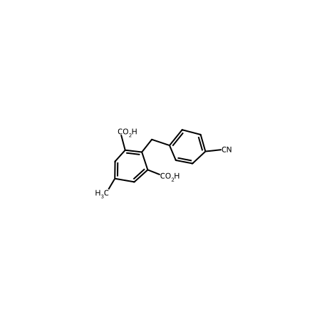 Cc1cc(C(=O)O)c(Cc2ccc(C#N)cc2)c(C(=O)O)c1